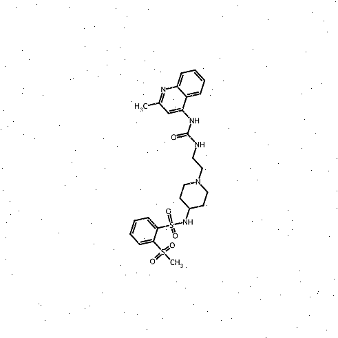 Cc1cc(NC(=O)NCCN2CCC(NS(=O)(=O)c3ccccc3S(C)(=O)=O)CC2)c2ccccc2n1